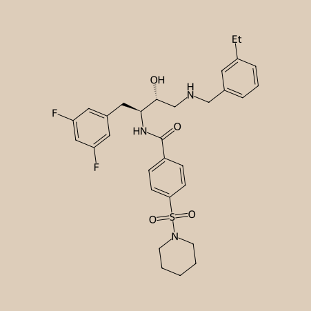 CCc1cccc(CNC[C@@H](O)[C@H](Cc2cc(F)cc(F)c2)NC(=O)c2ccc(S(=O)(=O)N3CCCCC3)cc2)c1